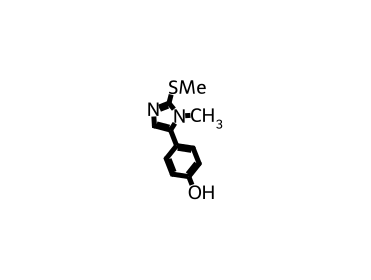 CSc1ncc(-c2ccc(O)cc2)n1C